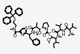 CCC(C)C(C(CC(=O)N1CCC[C@H]1C(OC)C(C)C(=O)NC(Cc1ccccc1)c1nc(C(=O)N(C)CCSC(c2ccccc2)(c2ccccc2)c2ccccc2)cs1)OC)N(C)C(=O)C(NC(=O)C(C(C)C)N(C)C)C(C)C